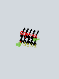 CCCCCCOc1ccc(CCc2ccc([S])cc2)cc1.CCCCCCOc1ccc(CCc2ccc([S])cc2)cc1.CCCCCCOc1ccc(CCc2ccc([S])cc2)cc1.CCCCCCOc1ccc(CCc2ccc([S])cc2)cc1.CCCCCCOc1ccc(CCc2ccc([S])cc2)cc1.F.F.F.F.F